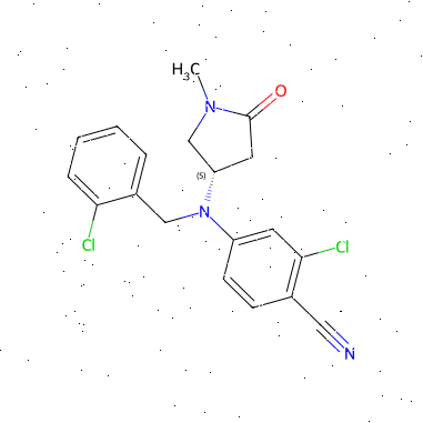 CN1C[C@@H](N(Cc2ccccc2Cl)c2ccc(C#N)c(Cl)c2)CC1=O